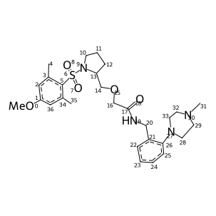 COc1cc(C)c(S(=O)(=O)N2CCCC2COCC(=O)NCc2ccccc2N2CCN(C)CC2)c(C)c1